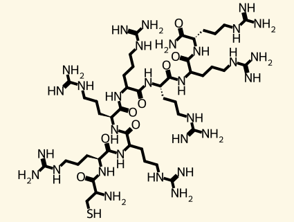 N=C(N)NCCCC(NC(=O)[C@H](CCCNC(=N)N)NC(=O)C(N)CS)C(=O)N[C@@H](CCCNC(=N)N)C(=O)NC(CCCNC(=N)N)C(=O)N[C@@H](CCCNC(=N)N)C(=O)NC(CCCNC(=N)N)C(=O)N[C@@H](CCCNC(=N)N)C(N)=O